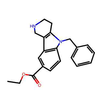 CCOC(=O)c1ccc2c(c1)c1c(n2Cc2ccccc2)CCNC1